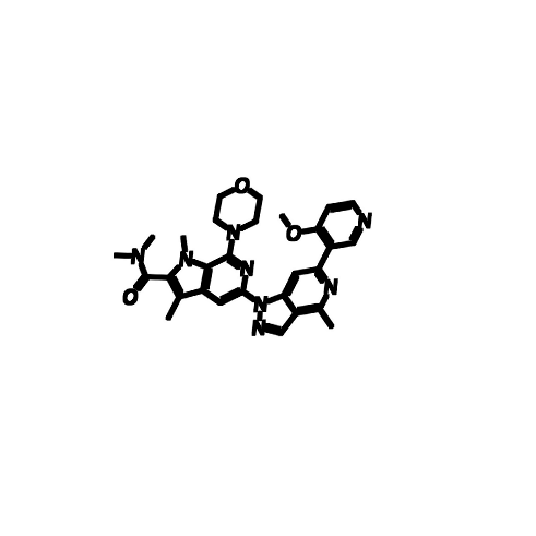 COc1ccncc1-c1cc2c(cnn2-c2cc3c(C)c(C(=O)N(C)C)n(C)c3c(N3CCOCC3)n2)c(C)n1